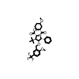 COc1ccc(C(F)(F)F)cc1CO[C@@H]1[C@@H](C(C)(C)C)[C@H](C(=O)O)N(C(=O)[C@@H]2CCC[C@@H](OC)C2)[C@@H]1c1ccccc1